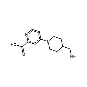 [NH]CC1CCN(c2ccnc(C(=O)O)c2)CC1